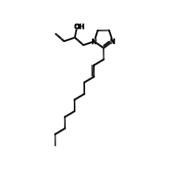 CCCCCCCCC=CCC1=NCCN1CC(O)CC